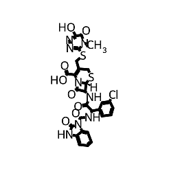 Cn1c(SCC2=C(C(=O)O)N3C(=O)C(NC(=O)C(NC(=O)n4c(=O)[nH]c5ccccc54)c4cccc(Cl)c4)[C@H]3SC2)nnc(O)c1=O